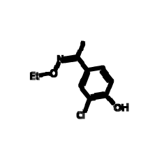 CCO/N=C(/C)c1ccc(O)c(Cl)c1